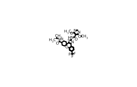 COc1ncnc(OC)c1C(=O)Nc1nc2c(s1)C1(CCC(C(=O)NC(C)C)CC1)Oc1cc(C(F)(F)F)ccc1-2